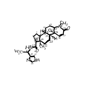 CC(NC(=O)C1CC[C@H]2[C@@H]3CCC4N(C)C(=O)C=C[C@]4(C)[C@@H]3CC[C@]12C)c1c[nH]cn1